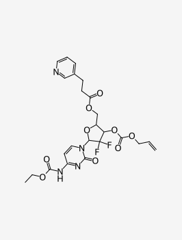 C=CCOC(=O)OC1C(COC(=O)CCc2cccnc2)OC(n2ccc(NC(=O)OCC)nc2=O)C1(F)F